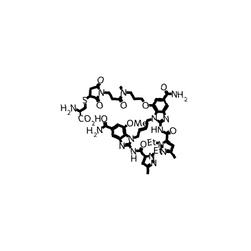 CCn1nc(C)cc1C(=O)Nc1nc2cc(C(N)=O)cc(OC)c2n1C/C=C/Cn1c(NC(=O)c2cc(C)nn2CC)nc2cc(C(N)=O)cc(OCCCN(C)C(=O)CCN3C(=O)CC(SC[C@H](N)C(=O)O)C3=O)c21